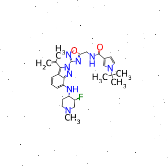 C=C(C)c1c2cccc(N[C@@H]3CCN(C)C[C@@H]3F)c2nn1-c1noc(CNC(=O)c2ccn(C(C)(C)C)c2)n1